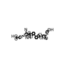 COc1nc(O[C@H]2CCc3c(-c4cccc(-c5nc6c(=N)n(CCN7CC[C@@H](C(=O)O)C7)cc(C#N)c6o5)c4Cl)cccc32)c(Cl)cc1CN1CC[C@@H](O)C1